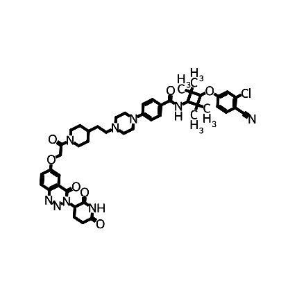 CC1(C)C(NC(=O)c2ccc(N3CCN(CCC4CCN(C(=O)COc5ccc6nnn(C7CCC(=O)NC7=O)c(=O)c6c5)CC4)CC3)cc2)C(C)(C)C1Oc1ccc(C#N)c(Cl)c1